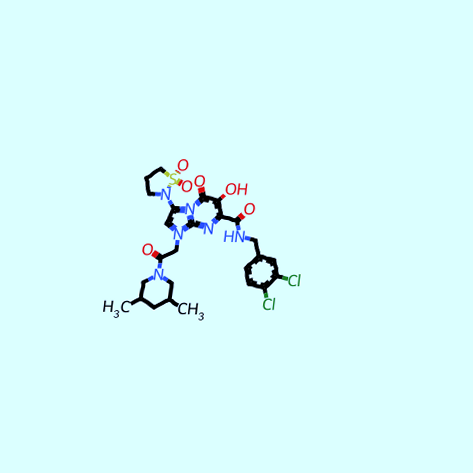 CC1CC(C)CN(C(=O)Cn2cc(N3CCCS3(=O)=O)n3c(=O)c(O)c(C(=O)NCc4ccc(Cl)c(Cl)c4)nc23)C1